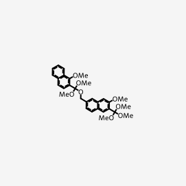 COc1cc2cc(COC(OC)(OC)c3ccc4ccccc4c3OC)ccc2cc1C(OC)(OC)OC